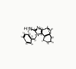 Nc1nc2cnc3c(c2n1Cc1ccccc1)CCCC3